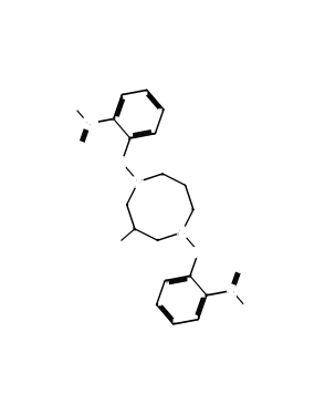 O=[N+]([O-])c1ccccc1SN1CCCN(Sc2ccccc2[N+](=O)[O-])CC(O)C1